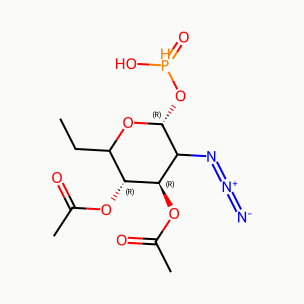 CCC1O[C@H](O[PH](=O)O)C(N=[N+]=[N-])[C@@H](OC(C)=O)[C@@H]1OC(C)=O